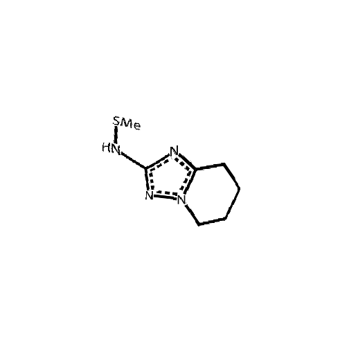 CSNc1nc2n(n1)CCCC2